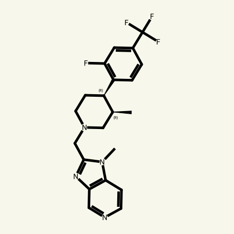 C[C@H]1CN(Cc2nc3cnccc3n2C)CC[C@H]1c1ccc(C(F)(F)F)cc1F